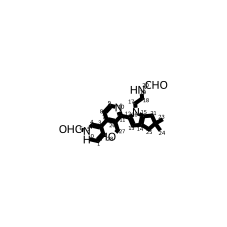 C/C=C\C(=C/NC=O)c1ccnc(-c2cc3c(n2CCNC=O)CC(C)(C)C3)c1CO